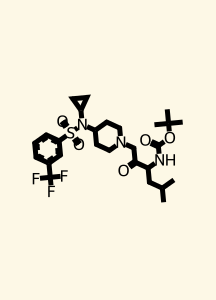 CC(C)CC(NC(=O)OC(C)(C)C)C(=O)CN1CCC(N(C2CC2)S(=O)(=O)c2cccc(C(F)(F)F)c2)CC1